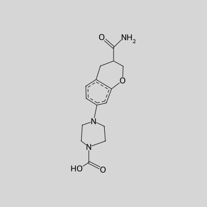 NC(=O)C1COc2cc(N3CCN(C(=O)O)CC3)ccc2C1